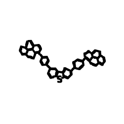 c1cc2ccc3ccc(-c4ccc(-c5ccc6sc7ccc(-c8ccc(-c9ccc%10ccc%11cccc%12ccc9c%10c%11%12)cc8)cc7c6c5)cc4)c4ccc(c1)c2c34